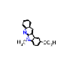 Cn1c2ccc(C(=O)O)cc2c2cc3ccccc3nc21